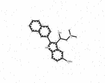 COc1ccc2[nH]c(-c3ccc4ccccc4c3)c(C(O)CN(C)C)c2c1